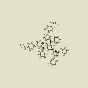 C=Cc1ccc(-c2ccc3c(c2)N(c2ccccc2)c2cc(-c4nc(-c5ccccc5)nc(-c5ccccc5)n4)cc4c2B3c2ccc(-c3ccc(C=C)cc3)cc2N4c2ccccc2)cc1